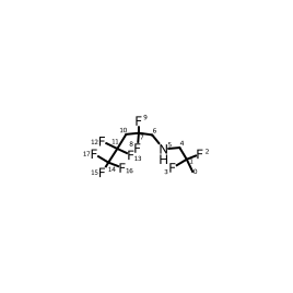 CC(F)(F)CNCC(F)(F)CC(F)(F)C(F)(F)F